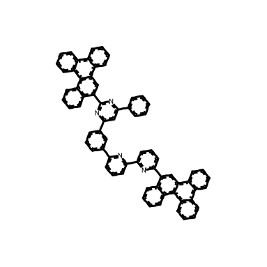 c1ccc(-c2cc(-c3cccc(-c4cccc(-c5cccc(-c6cc7c8ccccc8c8ccccc8c7c7ccccc67)n5)n4)c3)nc(-c3cc4c5ccccc5c5ccccc5c4c4ccccc34)n2)cc1